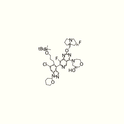 CC(C)(C)[Si](C)(C)OCCCc1c(Cl)cc2c(cnn2C2CCCCO2)c1-c1ncc2c(N3CCOC[C@@H](O)C3)nc(OC[C@@]34CCCN3C[C@H](F)C4)nc2c1F